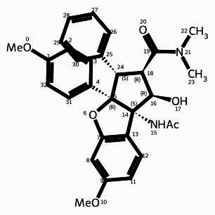 COc1ccc([C@@]23Oc4cc(OC)ccc4[C@]2(NC(C)=O)[C@H](O)[C@H](C(=O)N(C)C)[C@H]3c2ccccc2)cc1